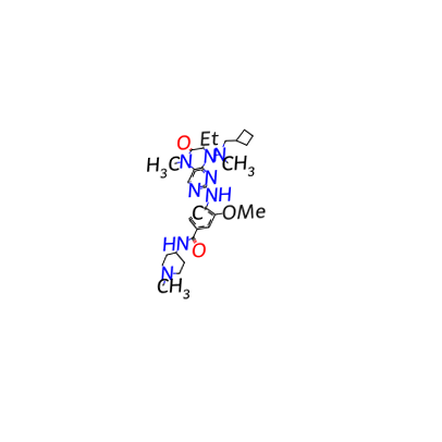 CCC1C(=O)N(C)c2cnc(Nc3ccc(C(=O)NC4CCN(C)CC4)cc3OC)nc2N1N(C)CC1CCC1